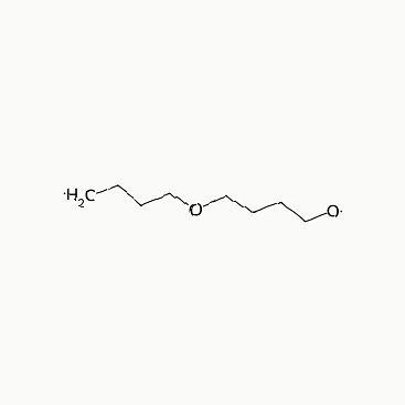 [CH2]CCCOCCCC[O]